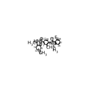 Cc1cc(S(=O)(=O)N[C@H](C)C2CCN(C)CC2)ccc1NC(=O)c1c(C)cccc1F